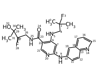 CC(C)(F)CNc1cc(Nc2ccc3ncccc3c2)ncc1C(=O)NC[C@@H](F)C(C)(C)O